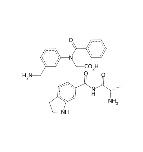 C[C@H](N)C(=O)NC(=O)c1ccc2c(c1)NCC2.NCc1cccc(N(CC(=O)O)C(=O)c2ccccc2)c1